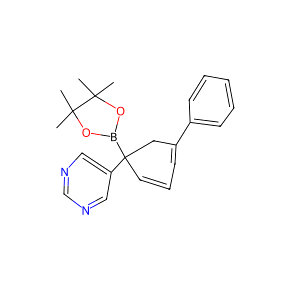 CC1(C)OB(C2(c3cncnc3)C=CC=C(c3ccccc3)C2)OC1(C)C